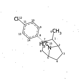 CC1C2CCC(C[C@@H]1c1ccc(Cl)cc1)N2C